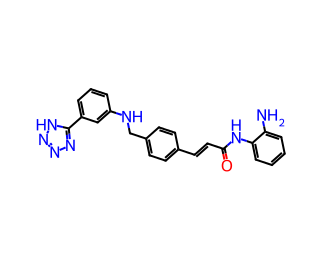 Nc1ccccc1NC(=O)C=Cc1ccc(CNc2cccc(-c3nnn[nH]3)c2)cc1